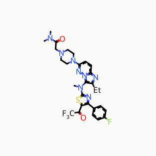 CCc1nc2ccc(N3CCN(CC(=O)N(C)C)CC3)nn2c1N(C)c1nc(-c2ccc(F)cc2)c(C(=O)C(F)(F)F)s1